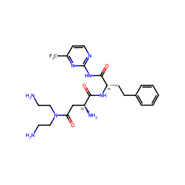 NCCN(CCN)C(=O)C[C@H](N)C(=O)N[C@@H](CCc1ccccc1)C(=O)Nc1nccc(C(F)(F)F)n1